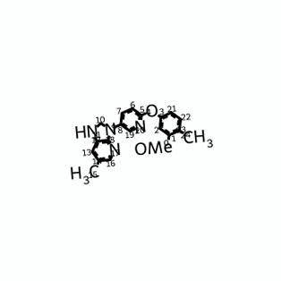 COc1cc(Oc2ccc(N3CNc4cc(C)cnc43)cn2)ccc1C